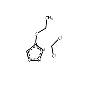 CCSn1cnnn1.ClCCl